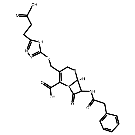 O=C(O)CCc1nnc(SCC2=C(C(=O)O)N3C(=O)C(NC(=O)Cc4ccccc4)[C@@H]3SC2)[nH]1